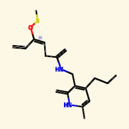 C=C/C(=C\CC(=C)NCC1=C(CCC)C=C(C)NC1=C)OSC